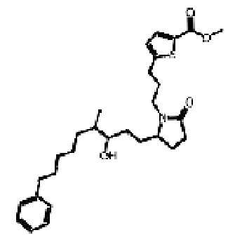 COC(=O)c1ccc(CCCN2C(=O)CCC2CC[C@@H](O)[C@H](C)CCCCCc2ccccc2)s1